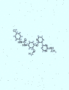 CNc1nccc(-c2cccnc2Oc2ccc(NC(=O)Nc3ccc(Cl)cc3)cc2OC)n1